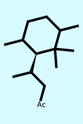 CC(=O)CC(C)[C@H]1C(C)CCC(C)C1(C)C